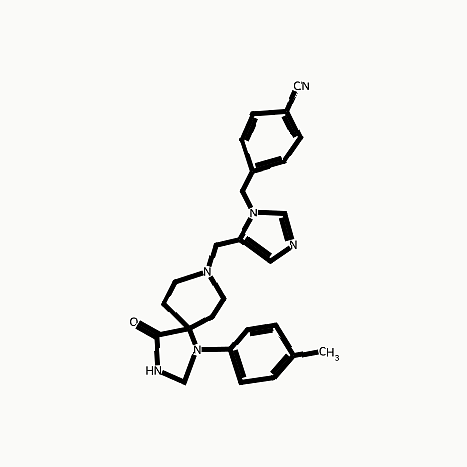 Cc1ccc(N2CNC(=O)C23CCN(Cc2cncn2Cc2ccc(C#N)cc2)CC3)cc1